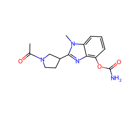 CC(=O)N1CCC(c2nc3c(OC(N)=O)cccc3n2C)C1